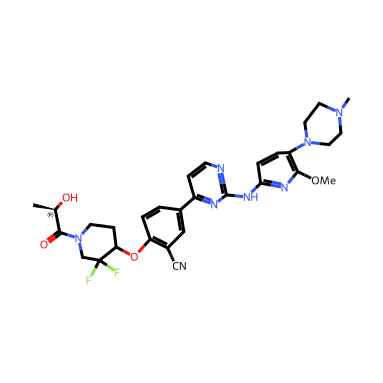 COc1nc(Nc2nccc(-c3ccc(OC4CCN(C(=O)[C@@H](C)O)CC4(F)F)c(C#N)c3)n2)ccc1N1CCN(C)CC1